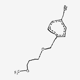 FC(F)(F)OCCOCc1ccc(Br)cc1